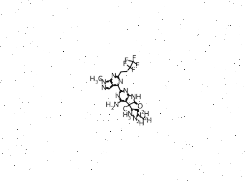 [2H]C([2H])([2H])n1cc(C2(C)C(=O)Nc3nc(-c4nc(CCC(F)(F)C(F)(F)F)nc5c4cnn5C)nc(N)c32)nn1